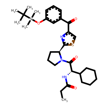 C[CH]C(=O)N[C@H](C(=O)N1CCC[C@H]1c1nc(C(=O)c2cccc(O[Si](C)(C)C(C)(C)C)c2)cs1)C1CCCCC1